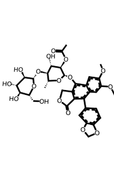 COc1cc2c(O[C@@H]3O[C@H](C)[C@@H](O[C@@H]4O[C@H](CO)[C@@H](O)[C@H](O)[C@H]4O)[C@H](O)[C@H]3OC(C)=O)c3c(c(-c4ccc5c(c4)OCO5)c2cc1OC)C(=O)OC3